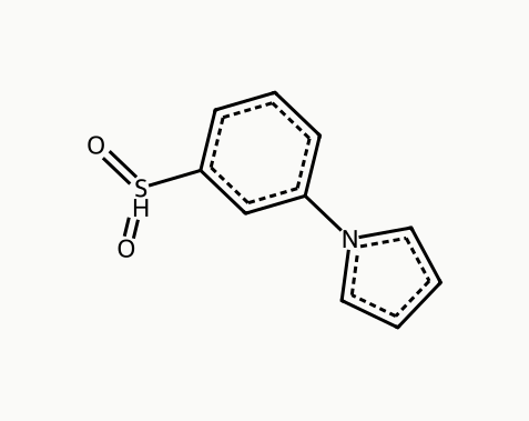 O=[SH](=O)c1cccc(-n2cccc2)c1